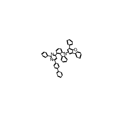 c1ccc(-c2ccc(-c3cc(-c4cccc5c4c4ccccc4n5-c4cc(-c5ccccc5)c5oc6ccccc6c5c4)nc(-c4ccccc4)n3)cc2)cc1